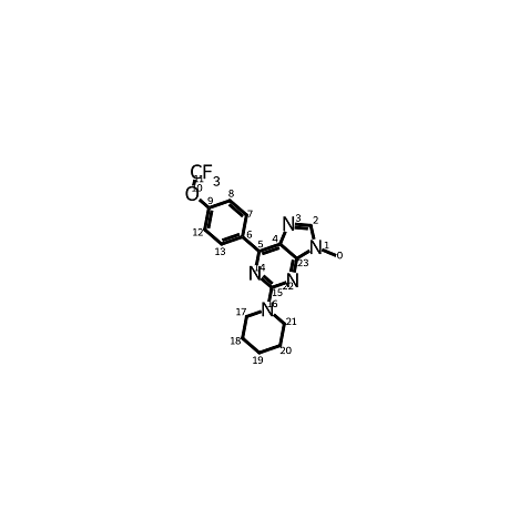 Cn1cnc2c(-c3ccc(OC(F)(F)F)cc3)nc(N3CCCCC3)nc21